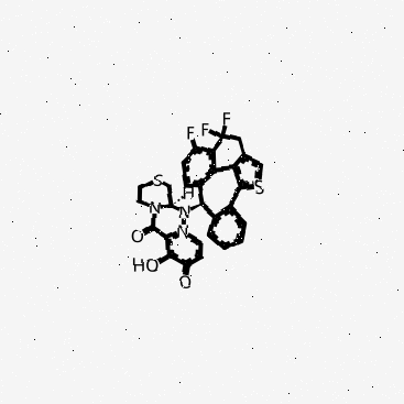 O=C1c2c(O)c(=O)ccn2N([C@@H]2c3ccccc3-c3scc4c3-c3c2ccc(F)c3C(F)(F)C4)[C@@H]2CSCCN12